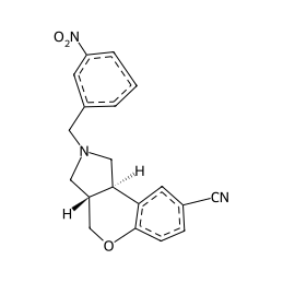 N#Cc1ccc2c(c1)[C@@H]1CN(Cc3cccc([N+](=O)[O-])c3)C[C@H]1CO2